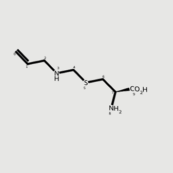 C=CCNCSC[C@H](N)C(=O)O